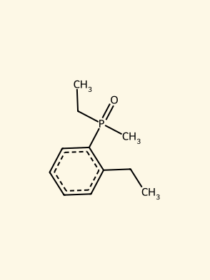 CCc1ccccc1P(C)(=O)CC